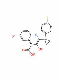 O=C(O)c1c(O)c(C2(c3ccc(F)cc3)CC2)nc2ccc(Br)cc12